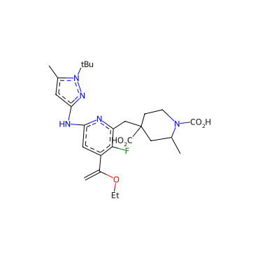 C=C(OCC)c1cc(Nc2cc(C)n(C(C)(C)C)n2)nc(CC2(C(=O)O)CCN(C(=O)O)C(C)C2)c1F